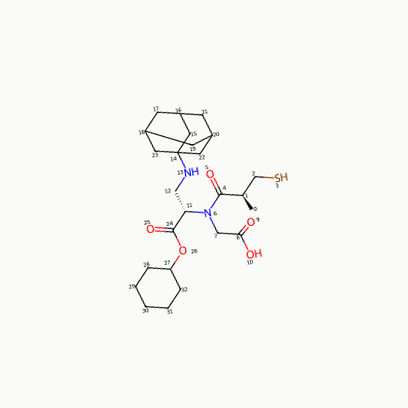 C[C@H](CS)C(=O)N(CC(=O)O)[C@@H](CNC12CC3CC(CC(C3)C1)C2)C(=O)OC1CCCCC1